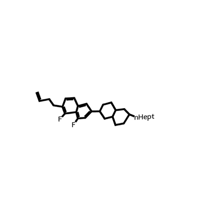 C=CCCc1ccc2cc(C3CCC4CC(CCCCCCC)CCC4C3)cc(F)c2c1F